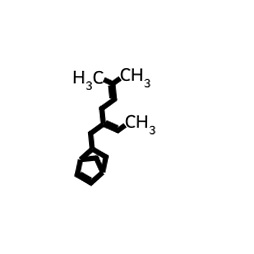 CC=C(CC=C(C)C)CC1CC2C=CC1C2